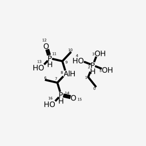 CC[PH](O)(O)O.C[CH]([AlH][CH](C)[PH](=O)O)[PH](=O)O